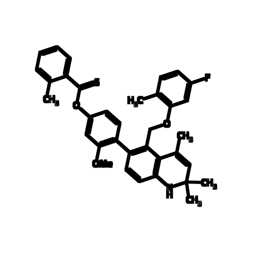 COc1cc(OC(=S)c2ccccc2C)ccc1-c1ccc2c(c1COc1cc(F)ccc1C)C(C)=CC(C)(C)N2